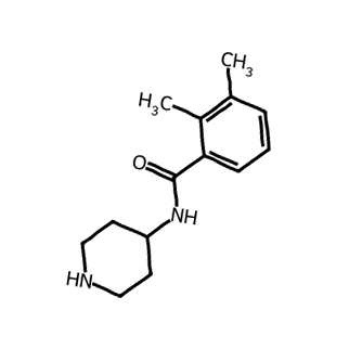 Cc1cccc(C(=O)NC2CCNCC2)c1C